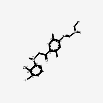 CCN(C)C=Nc1cc(C)c(C(=O)CN(C)c2cccc(F)c2Cl)cc1C